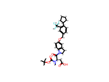 CN(C(=O)OC(C)(C)C)[C@H](CC(=O)O)C(=O)N1CCc2cc(OCc3ccc(C4CCCC4)c(C(F)(F)F)c3)ccc21